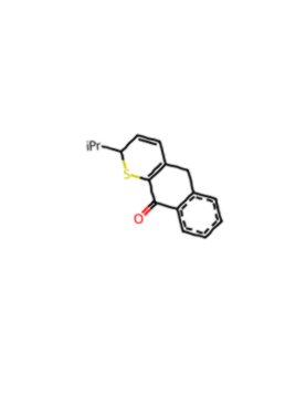 CC(C)C1C=CC2=C(S1)C(=O)c1ccccc1C2